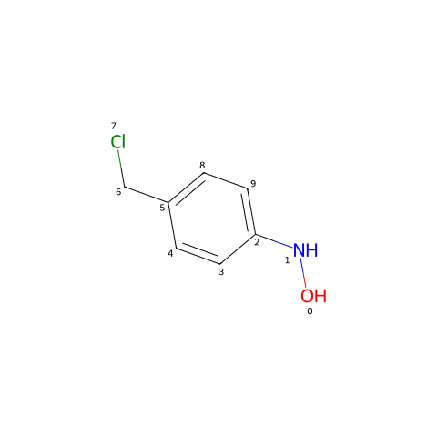 ONc1ccc(CCl)cc1